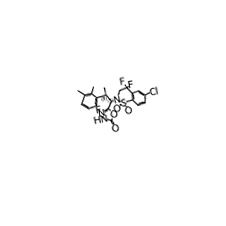 Cc1ccc(F)c([C@@H](C)[C@@H](c2n[nH]c(=O)o2)N2CC(F)(F)c3cc(Cl)ccc3S2(=O)=O)c1C